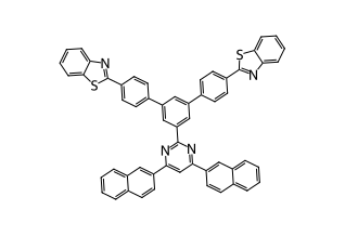 c1ccc2cc(-c3cc(-c4ccc5ccccc5c4)nc(-c4cc(-c5ccc(-c6nc7ccccc7s6)cc5)cc(-c5ccc(-c6nc7ccccc7s6)cc5)c4)n3)ccc2c1